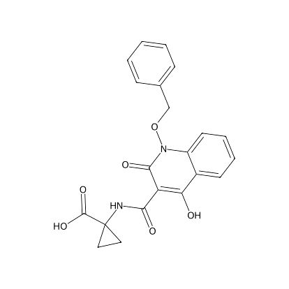 O=C(NC1(C(=O)O)CC1)c1c(O)c2ccccc2n(OCc2ccccc2)c1=O